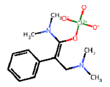 CN(C)CC(=C(O[Cl+3]([O-])([O-])[O-])N(C)C)c1ccccc1